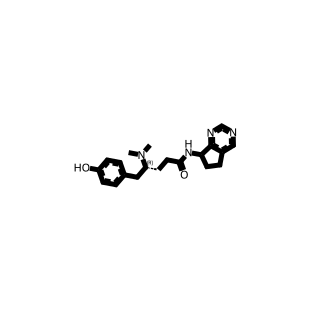 CN(C)[C@H](CCC(=O)NC1CCc2cncnc21)Cc1ccc(O)cc1